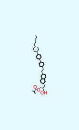 C=C(C)C(=O)OCC(CO)Cc1ccc2cc(CCc3ccc(-c4ccc(C5CCC(CCCCC)CC5)cc4)cc3)ccc2c1